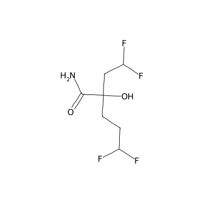 NC(=O)C(O)(CCC(F)F)CC(F)F